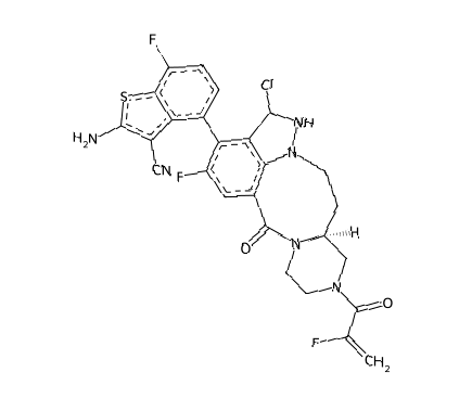 C=C(F)C(=O)N1CCN2C(=O)c3cc(F)c(-c4ccc(F)c5sc(N)c(C#N)c45)c4c3N(CC[C@H]2C1)NC4Cl